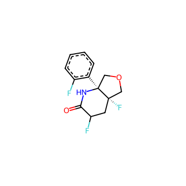 O=C1N[C@@]2(c3ccccc3F)COC[C@@]2(F)CC1F